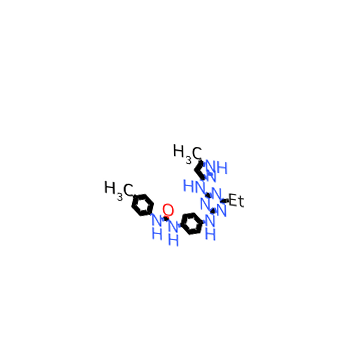 CCc1nc(Nc2ccc(NC(=O)Nc3ccc(C)cc3)cc2)nc(Nc2cc(C)[nH]n2)n1